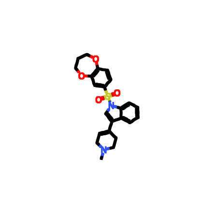 CN1CC=C(c2cn(S(=O)(=O)c3ccc4c(c3)OCCCO4)c3ccccc23)CC1